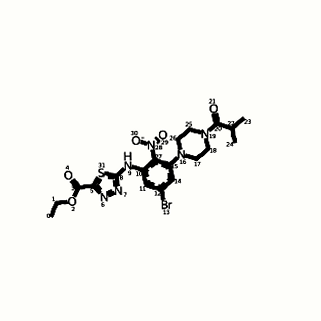 CCOC(=O)c1nnc(Nc2cc(Br)cc(N3CCN(C(=O)C(C)C)CC3)c2[N+](=O)[O-])s1